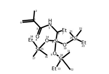 C=C(C)C(=O)NC(CC)[Si](O[Si](C)(C)CC)(O[Si](C)(C)CC)O[Si](C)(C)CC